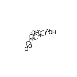 C[C@]12CCC(=NO)C=C1CCC1C2CC[C@]2(C)[C@@H](c3ccc(=O)oc3)CC[C@]12O